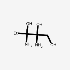 CCC(N)(O)C(N)(O)CO